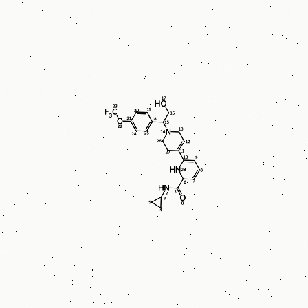 O=C(NC1CC1)C1C=CC=C(C2=CCN(C(CO)c3ccc(OC(F)(F)F)cc3)CC2)N1